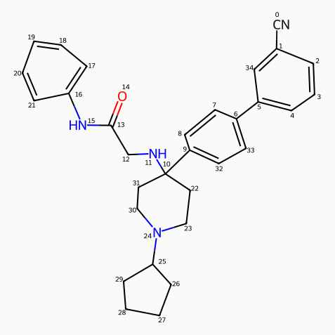 N#Cc1cccc(-c2ccc(C3(NCC(=O)Nc4ccccc4)CCN(C4CCCC4)CC3)cc2)c1